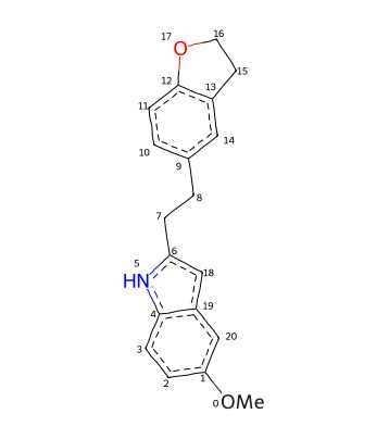 COc1ccc2[nH]c(CCc3ccc4c(c3)CCO4)cc2c1